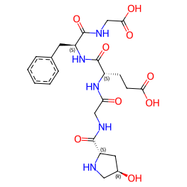 O=C(O)CC[C@H](NC(=O)CNC(=O)[C@@H]1C[C@@H](O)CN1)C(=O)N[C@@H](Cc1ccccc1)C(=O)NCC(=O)O